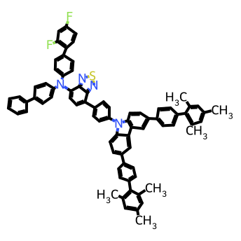 Cc1cc(C)c(-c2ccc(-c3ccc4c(c3)c3cc(-c5ccc(-c6c(C)cc(C)cc6C)cc5)ccc3n4-c3ccc(-c4ccc(N(c5ccc(-c6ccccc6)cc5)c5ccc(-c6ccc(F)cc6F)cc5)c5nsnc45)cc3)cc2)c(C)c1